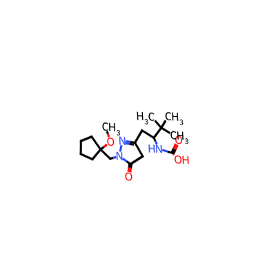 COC1(CN2N=C(CC(NC(=O)O)C(C)(C)C)CC2=O)CCCC1